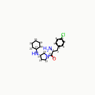 N[C@H](Cc1ccc(Cl)cc1)C(=O)N1CC[C@H](NC2CCCCC2)C1